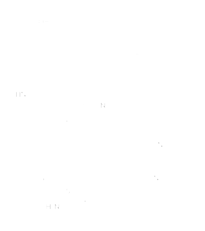 NS(=O)(=O)c1cccc(-c2cncnc2C(CNC(=O)Cc2c[nH]c3ccc(O)cc23)c2cc(F)cc(F)c2)c1